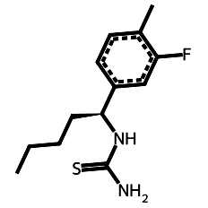 CCCC[C@H](NC(N)=S)c1ccc(C)c(F)c1